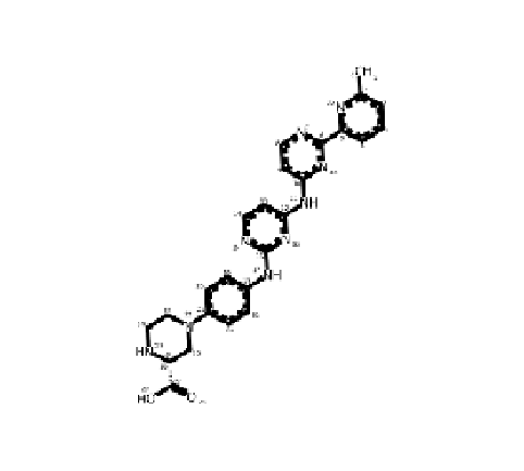 Cc1cccc(-c2nccc(Nc3ccnc(Nc4ccc(N5CCN[C@@H](C(=O)O)C5)cc4)n3)n2)n1